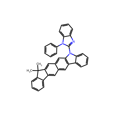 CC1(C)c2ccccc2-c2cc3cc4c5ccccc5n(-c5nc6ccccc6n5-c5ccccc5)c4cc3cc21